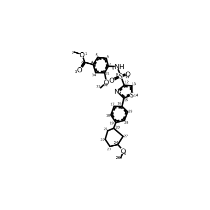 COC(=O)c1ccc(NS(=O)(=O)c2csc(-c3ccc(C4CCCC(OC)C4)cc3)n2)c(OC)c1